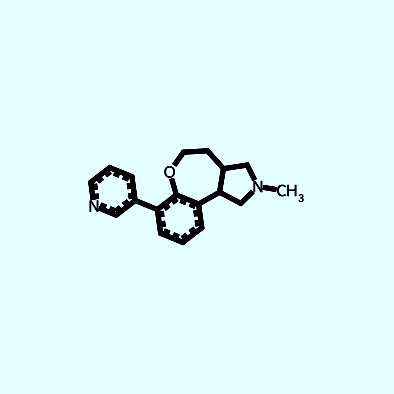 CN1CC2CCOc3c(-c4cccnc4)cccc3C2C1